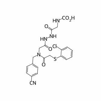 N#Cc1ccc(CN(CC(=O)NNC(=O)CNC(=O)O)C(=O)CSc2ccccc2Cl)cc1